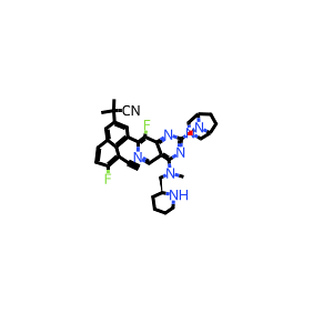 C#Cc1c(F)ccc2cc(C(C)(C)C#N)cc(-c3ncc4c(N(C)C[C@@H]5CCCCN5)nc(N5CC6CCC(C5)N6C)nc4c3F)c12